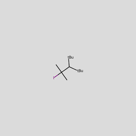 CC(C)(C)C(C(C)(C)C)C(C)(C)I